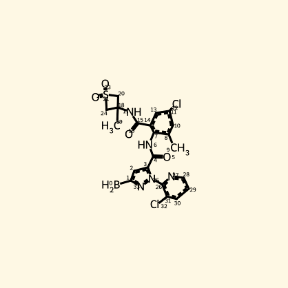 Bc1cc(C(=O)Nc2c(C)cc(Cl)cc2C(=O)NC2(C)CS(=O)(=O)C2)n(-c2ncccc2Cl)n1